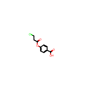 O=C(CCCl)Oc1ccc(C(=O)O)cc1